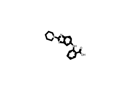 O=C(O)c1ccccc1Nc1ccc2nc(N3CCCCC3)sc2c1